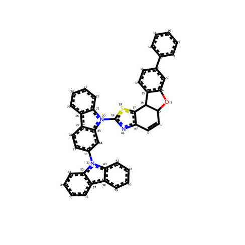 C1=CC2Oc3cc(-c4ccccc4)ccc3C2c2sc(-n3c4ccccc4c4ccc(-n5c6ccccc6c6ccccc65)cc43)nc21